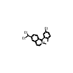 CCc1ccc(C)c(-c2c3ccc(C(CC)CC)cc3cc[n+]2C)c1